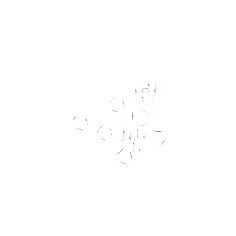 c1ccc(-c2ccc(-c3nc(-n4c5ccccc5c5c6sc7cncnc7c6c6c7ccccc7sc6c54)nc4ccccc34)cc2)cc1